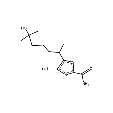 CC(CCCC(C)(C)O)c1cnc(C(N)=O)s1.Cl